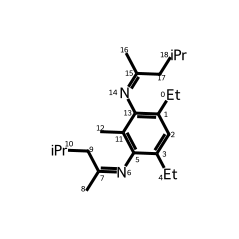 CCc1cc(CC)c(N=C(C)CC(C)C)c(C)c1N=C(C)CC(C)C